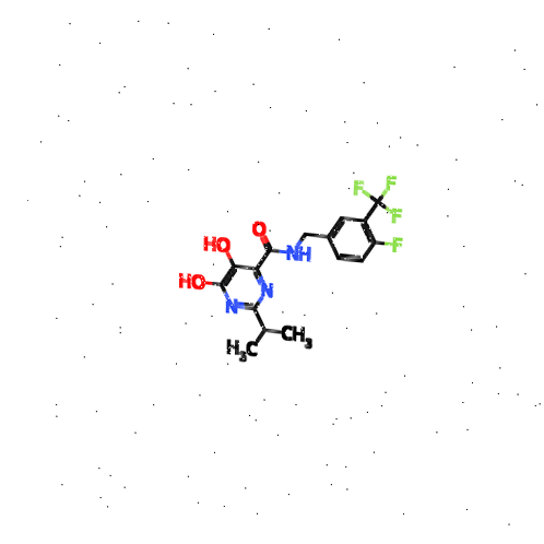 CC(C)c1nc(O)c(O)c(C(=O)NCc2ccc(F)c(C(F)(F)F)c2)n1